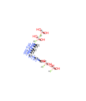 CCN.CCN.CCN.CCN.CCN.CCN.CCN.CCN.OB(O)F.OB(O)F.OB(O)F.OB(O)F